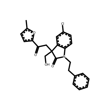 Cc1ccc(C(=O)CC2(CO)C(=O)N(CCc3ccccc3)c3ccc(Cl)cc32)o1